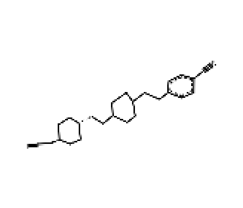 C=CC[C@H]1CC[C@H](CCC2CCC(CCc3ccc(C#N)cc3)CC2)CC1